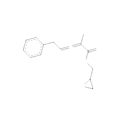 CC(=C=CCc1ccccc1)C(=O)OCC1CO1